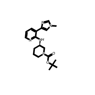 Cn1cnc(-c2cccnc2N[C@@H]2CCCN(C(=O)OC(C)(C)C)C2)c1